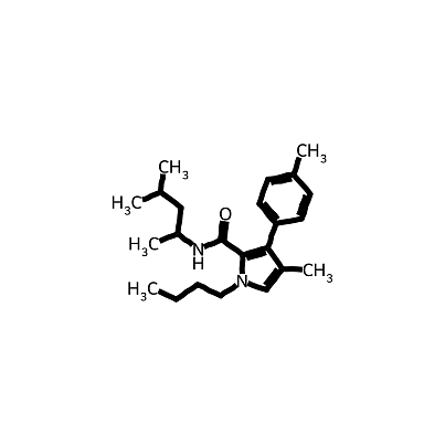 CCCCn1cc(C)c(-c2ccc(C)cc2)c1C(=O)NC(C)CC(C)C